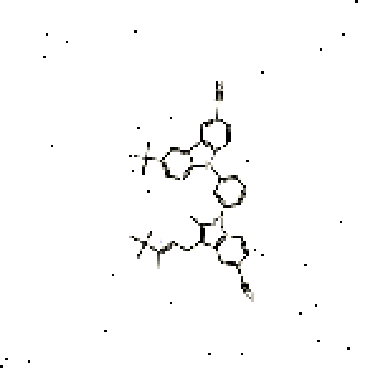 C/C(=C\Cc1c(C)n(-c2cccc(-n3c4ccc(C#N)cc4c4cc(C(C)(C)C)ccc43)c2)c2ccc(C#N)cc12)C(C)(C)C